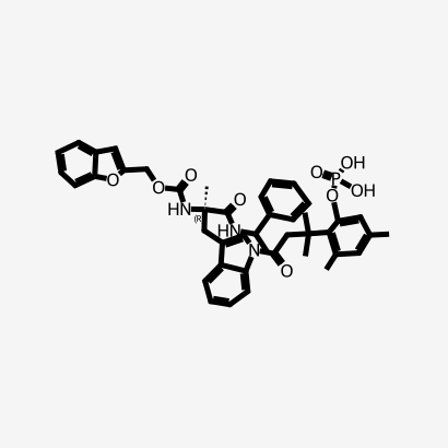 Cc1cc(C)c(C(C)(C)CC(=O)n2cc(C[C@@](C)(NC(=O)OCc3cc4ccccc4o3)C(=O)NC(C)c3ccccc3)c3ccccc32)c(OP(=O)(O)O)c1